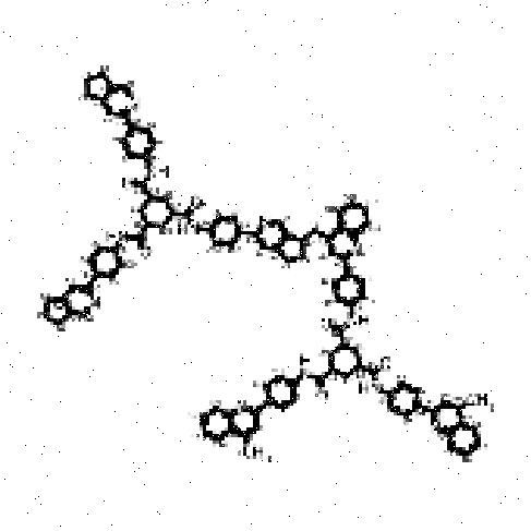 Cc1cc(-c2ccc(NC(=O)C3CC(C(=O)Nc4ccc(-c5cc(C)c6ccccc6n5)cc4)CC(C(=O)Nc4ccc(-c5cc(CC6CCc7cc(-c8ccc(NC(=O)C9CC(C(=O)Nc%10ccc(-c%11cc%12c(cn%11)CCC%12)cc%10)CC(C(=O)Nc%10ccc(-c%11cc%12c(cn%11)CCC%12)cc%10)C9)cc8)ncc76)c6ccccc6n5)cc4)C3)cc2)nc2ccccc12